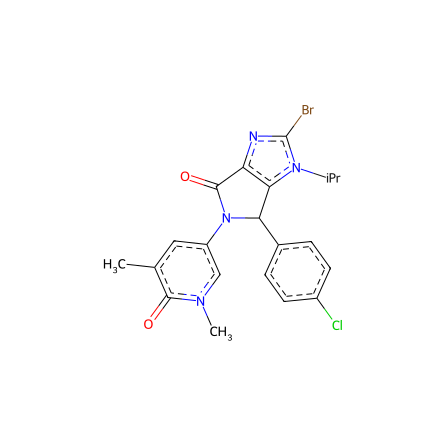 Cc1cc(N2C(=O)c3nc(Br)n(C(C)C)c3C2c2ccc(Cl)cc2)cn(C)c1=O